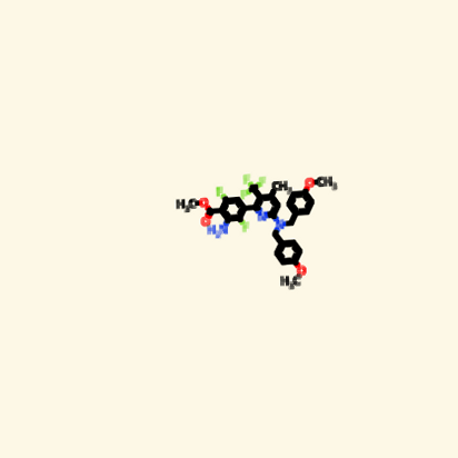 COC(=O)c1c(F)cc(-c2nc(N(Cc3ccc(OC)cc3)Cc3ccc(OC)cc3)cc(C)c2C(F)(F)F)c(F)c1N